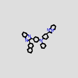 c1ccc(N(c2ccc(-c3cn4ccccc4n3)cc2)c2ccc(-c3nc4ccccc4nc3-c3ccc4ccccc4c3)cc2)cc1